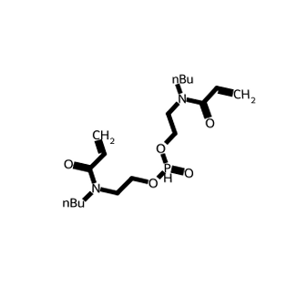 C=CC(=O)N(CCCC)CCO[PH](=O)OCCN(CCCC)C(=O)C=C